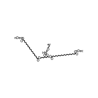 CCCCCCCCCCOC(=O)CCCCCCCCCCCCCCCCC(=O)OCCCC(CCCOC(=O)CCCCCCCCCCCCCCCCC(=O)OCCCCCCCCCC)OC(=O)NCCOCCN(C)C